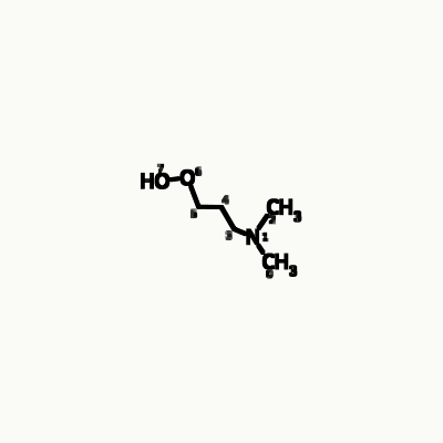 CN(C)CCCOO